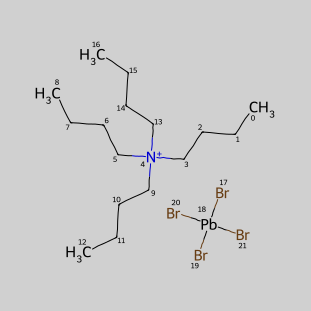 CCCC[N+](CCCC)(CCCC)CCCC.[Br][Pb]([Br])([Br])[Br]